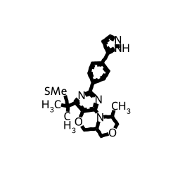 CSC(C)(C)c1nc(-c2ccc(-c3ccn[nH]3)cc2)nc2c1OCC1COCC(C)N21